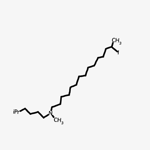 CC(C)CCCCN(C)CCCCCCCCCCCCCC(C)I